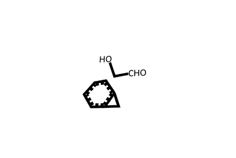 O=CCO.c1ccc2c(c1)C2